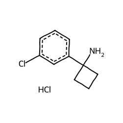 Cl.NC1(c2cccc(Cl)c2)CCC1